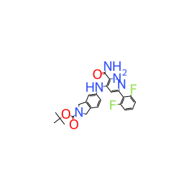 CC(C)(C)OC(=O)N1Cc2ccc(Nc3cc(-c4c(F)cccc4F)nnc3C(N)=O)cc2C1